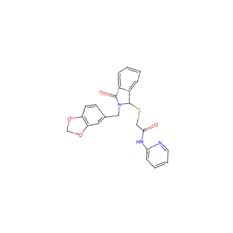 O=C(CSC1c2ccccc2C(=O)N1Cc1ccc2c(c1)OCO2)Nc1ccccn1